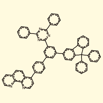 c1ccc(-c2nc(-c3ccccc3)nc(-c3cc(-c4ccc(-c5ccnc6c5ccc5cccnc56)cc4)cc(-c4ccc5c(c4)-c4ccccc4C5(c4ccccc4)c4ccccc4)c3)n2)cc1